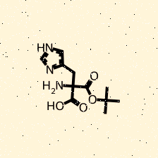 CC(C)(C)OC(=O)C(N)(Cc1c[nH]cn1)C(=O)O